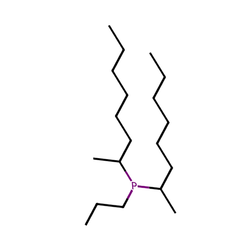 CCCCCCC(C)P(CCC)C(C)CCCCCC